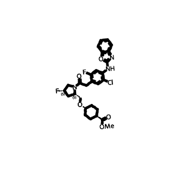 COC(=O)[C@H]1CC[C@H](OC[C@@H]2C[C@H](F)CN2C(=O)Cc2cc(Cl)c(Nc3nc4ccccc4o3)cc2F)CC1